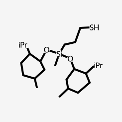 CC1CCC(C(C)C)C(O[Si](C)(CCCS)OC2CC(C)CCC2C(C)C)C1